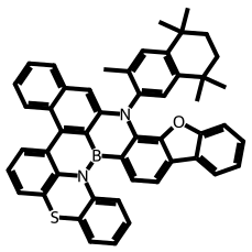 Cc1cc2c(cc1N1c3cc4ccccc4c4c3B(c3ccc5c(oc6ccccc65)c31)N1c3ccccc3Sc3cccc-4c31)C(C)(C)CCC2(C)C